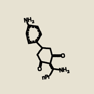 CCCC(N)=C1C(=O)CC(c2ccc(N)cc2)CC1=O